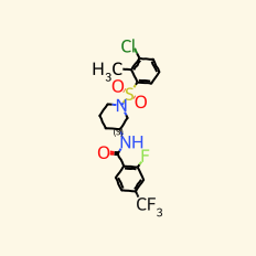 Cc1c(Cl)cccc1S(=O)(=O)N1CCC[C@H](NC(=O)c2ccc(C(F)(F)F)cc2F)C1